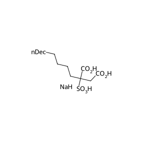 CCCCCCCCCCCCCCC(CC(=O)O)(C(=O)O)S(=O)(=O)O.[NaH]